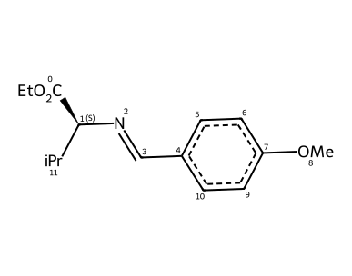 CCOC(=O)[C@@H](N=Cc1ccc(OC)cc1)C(C)C